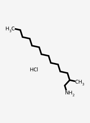 CCCCCCCCCCCCC(C)CN.Cl